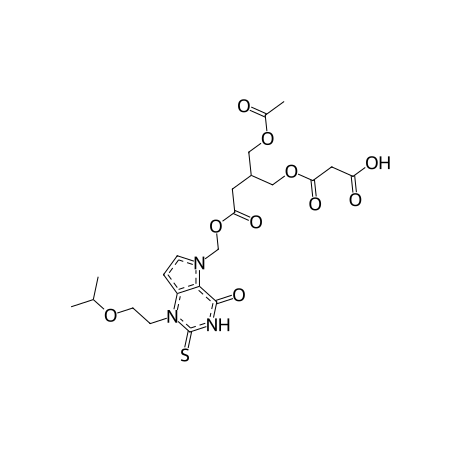 CC(=O)OCC(COC(=O)CC(=O)O)CC(=O)OCn1ccc2c1c(=O)[nH]c(=S)n2CCOC(C)C